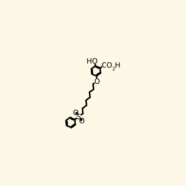 O=C(O)c1cc(OCCCCCCCCS(=O)(=O)c2ccccc2)ccc1O